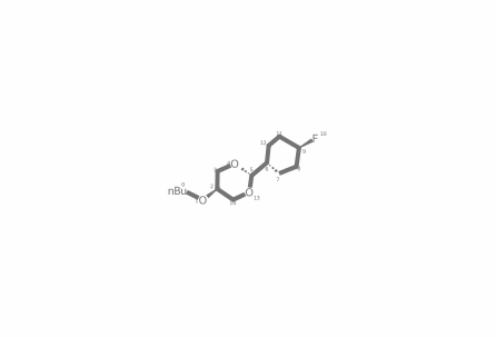 CCCCO[C@H]1CO[C@H]([C@H]2CC[C@H](F)CC2)OC1